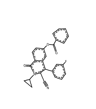 N#Cc1c(-c2cccc(F)c2)c2cc(OC(=O)c3ccccc3)ccc2c(=O)n1C1CC1